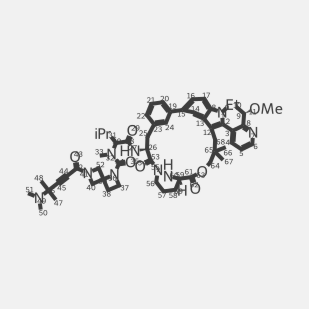 CCn1c(-c2cccnc2[C@H](C)OC)c2c3cc(ccc31)-c1cccc(c1)C[C@H](NC(=O)C(C(C)C)N(C)C(=O)N1CCC13CN(C(=O)C#CC(C)(C)N(C)C)C3)C(=O)N1CCC[C@H](N1)C(=O)OCC(C)(C)C2